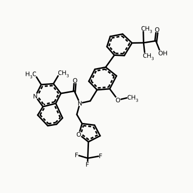 COc1cc(-c2cccc(C(C)(C)C(=O)O)c2)ccc1CN(Cc1ccc(C(F)(F)F)o1)C(=O)c1c(C)c(C)nc2ccccc12